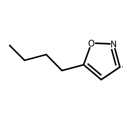 CCCCc1c[c]no1